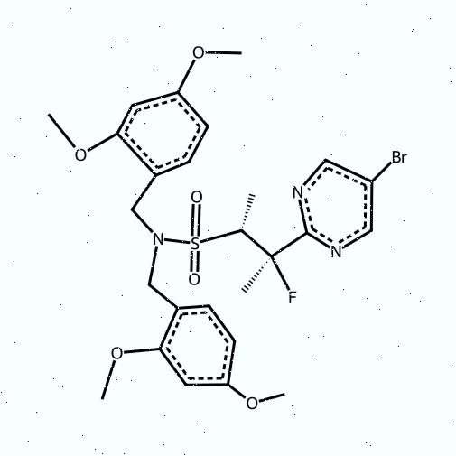 COc1ccc(CN(Cc2ccc(OC)cc2OC)S(=O)(=O)[C@H](C)[C@](C)(F)c2ncc(Br)cn2)c(OC)c1